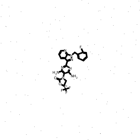 Nc1nc(-c2nn(Cc3ccccc3F)c3ncccc23)nc(N)c1N1C[C@@H](C(F)(F)F)OC1=O